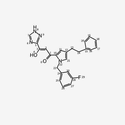 O=C(C=C(O)c1nc[nH]n1)c1cc(CCc2ccccc2)cn1Cc1cccc(F)c1